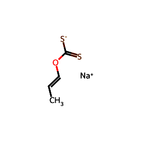 CC=COC(=S)[S-].[Na+]